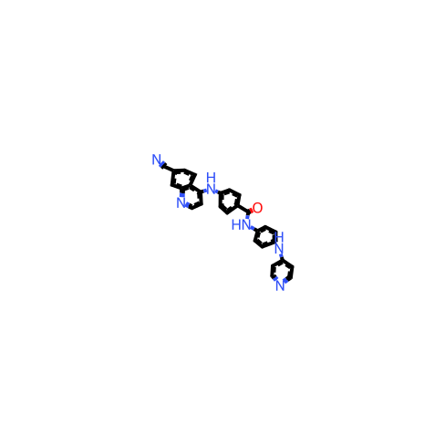 N#Cc1ccc2c(Nc3ccc(C(=O)Nc4ccc(Nc5ccncc5)cc4)cc3)ccnc2c1